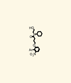 CC(=O)c1c(OCCCC(=O)N(CCO)C2CCCCC2)cccc1[N+](=O)[O-]